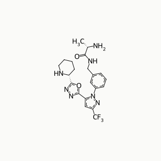 C[C@H](N)C(=O)NCc1cccc(-n2nc(C(F)(F)F)cc2-c2nnc([C@H]3CCCCN3)o2)c1